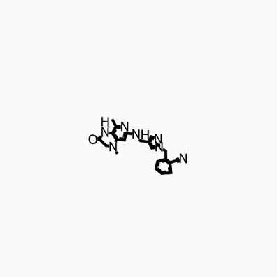 Cc1nc(NCc2cnn(Cc3ccccc3C#N)c2)cc2c1NC(=O)CN2C